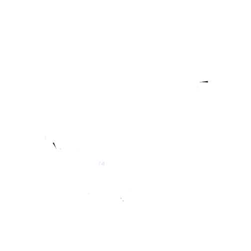 Cc1nsc(-c2ccc(-c3ccc([C@H](C)OC=O)cc3)cc2)c1NC(=O)O[C@H](C)c1ccccc1